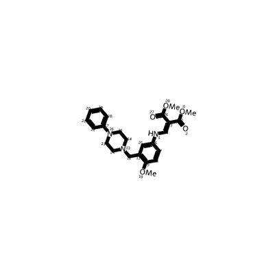 COC(=O)C(=CNc1ccc(OC)c(CN2CCN(c3ccccc3)CC2)c1)C(=O)OC